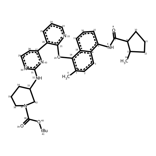 Cc1ccc2c(NC(=O)C3CCCC3C)cccc2c1Oc1ncccc1-c1ccnc(NC2CCCN(C(=O)OC(C)(C)C)C2)n1